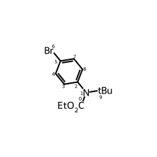 CCOC(=O)N(c1ccc(Br)cc1)C(C)(C)C